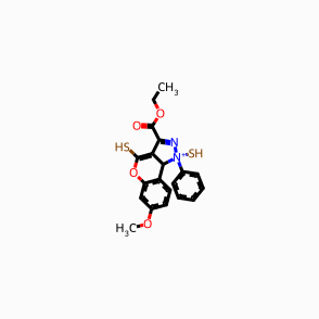 CCOC(=O)C1=N[N+](S)(c2ccccc2)C2C1=C(S)Oc1cc(OC)ccc12